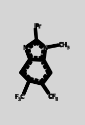 CC(C)c1nc2cc(C(F)(F)F)c(C(F)(F)F)cc2n1C